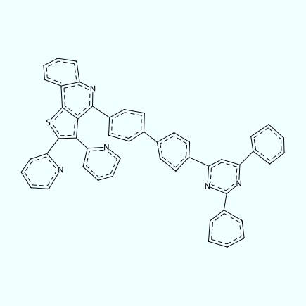 c1ccc(-c2cc(-c3ccc(-c4ccc(-c5nc6ccccc6c6sc(-c7ccccn7)c(-c7ccccn7)c56)cc4)cc3)nc(-c3ccccc3)n2)cc1